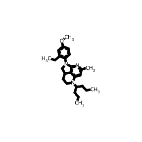 CCCC(CCC)N1CCC2CN(c3ccc(OC)cc3CC)c3nc(C)cc1c32